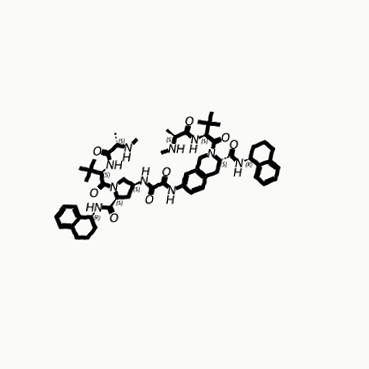 CN[C@@H](C)C(=O)N[C@H](C(=O)N1Cc2cc(NC(=O)C(=O)N[C@H]3C[C@@H](C(=O)N[C@@H]4CCCc5ccccc54)N(C(=O)[C@@H](NC(=O)[C@H](C)NC)C(C)(C)C)C3)ccc2C[C@H]1C(=O)N[C@@H]1CCCc2ccccc21)C(C)(C)C